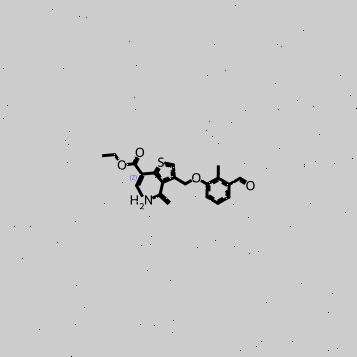 C=C(N)c1c(COc2cccc(C=O)c2C)csc1/C(=C\C)C(=O)OCC